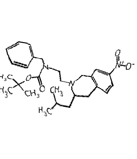 CC(C)CC1Cc2ccc([N+](=O)[O-])cc2CN1CCN(Cc1ccccc1)C(=O)OC(C)(C)C